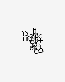 CN[C@@H](C)C(=O)N[C@H](C(=O)N1C[C@@H](NC(=O)c2ccc(C)cc2)C[C@H]1C(=O)N[C@@H]1CCCc2ccccc21)C(C)(C)C